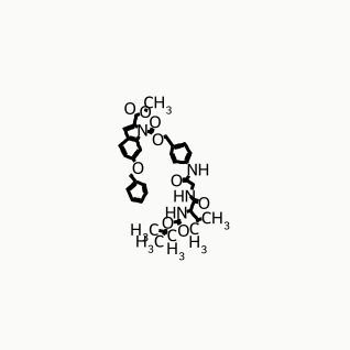 COC(=O)c1cc2ccc(OCc3ccccc3)cc2n1C(=O)OCc1ccc(NC(=O)CNC(=O)C(NC(=O)OC(C)(C)C)C(C)C)cc1